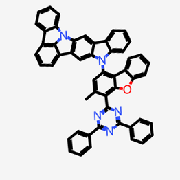 Cc1cc(-n2c3ccccc3c3cc4c(cc32)c2cccc3c5ccccc5n4c32)c2c(oc3ccccc32)c1-c1nc(-c2ccccc2)nc(-c2ccccc2)n1